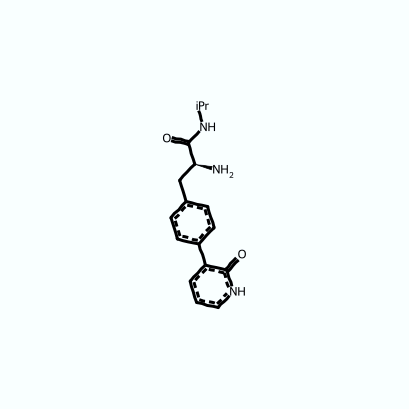 CC(C)NC(=O)[C@@H](N)Cc1ccc(-c2ccc[nH]c2=O)cc1